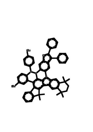 CC(C)(C)c1ccc(N2B3c4cc5oc(-c6ccccc6)c(-c6ccccc6)c5cc4-n4c5cc6c(cc5c5c7c(c(c3c54)-c3cc(C(C)(C)C)ccc32)-c2ccccc2C7(C)C)C(C)(C)CCC6(C)C)cc1